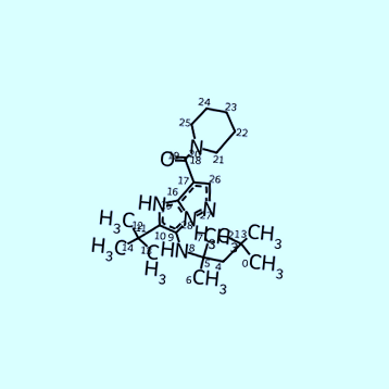 CC(C)(C)CC(C)(C)Nc1c(C(C)(C)C)[nH]c2c(C(=O)N3CCCCC3)cnn12